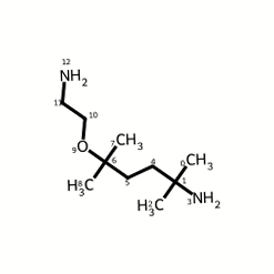 CC(C)(N)CCC(C)(C)OCCN